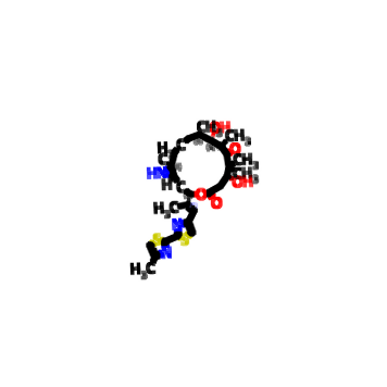 C/C(=C\c1csc(-c2nc(C)cs2)n1)[C@@H]1C[C@@H]2N[C@]2(C)CCC[C@H](C)[C@H](O)[C@@H](C)C(=O)C(C)(C)[C@@H](O)CC(=O)O1